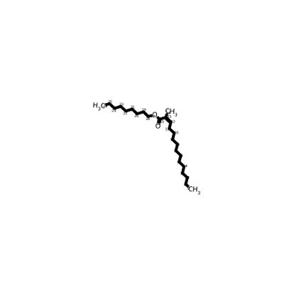 CCCCCCCCCCCCC=C(C)C(=O)OCCCCCCCCC